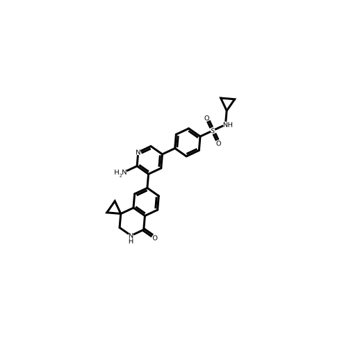 Nc1ncc(-c2ccc(S(=O)(=O)NC3CC3)cc2)cc1-c1ccc2c(c1)C1(CC1)CNC2=O